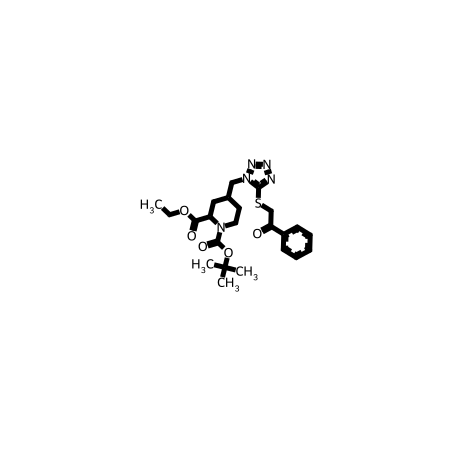 CCOC(=O)C1CC(Cn2nnnc2SCC(=O)c2ccccc2)CCN1C(=O)OC(C)(C)C